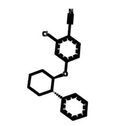 N#Cc1ccc(O[C@@H]2CCCC[C@H]2c2ccccc2)cc1Cl